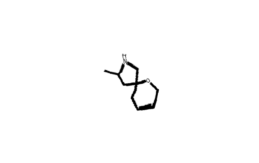 CC1CC2(CC=CCO2)CN1